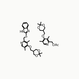 CC(=O)OCc1ncc(C)c(OCC2COC(C)(C)OC2)c1C.Cc1cnc(CSc2nc3ccccc3[nH]2)c(C)c1OCC1COC(C)(C)OC1